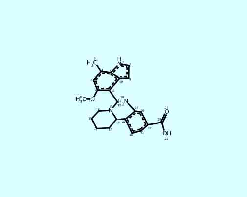 COc1cc(C)c2[nH]ccc2c1CN1CCCC[C@@H]1c1ccc(C(=O)O)cc1N